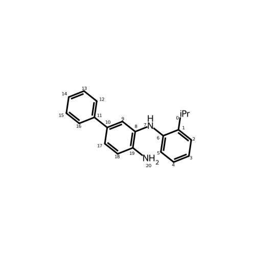 CC(C)c1ccccc1Nc1cc(-c2ccccc2)ccc1N